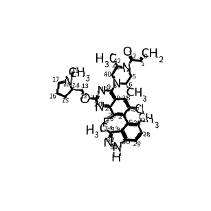 C=CC(=O)N1C[C@H](C)N(c2nc(OC[C@H]3CCCN3C)nc3c(F)c(-c4c(C)ccc5[nH]nc(C)c45)c(Cl)cc23)C[C@H]1C